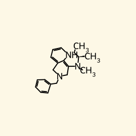 CC[C@@H](C)N(C)C1=C2NC=CC=C2CN(Cc2ccccc2)C1